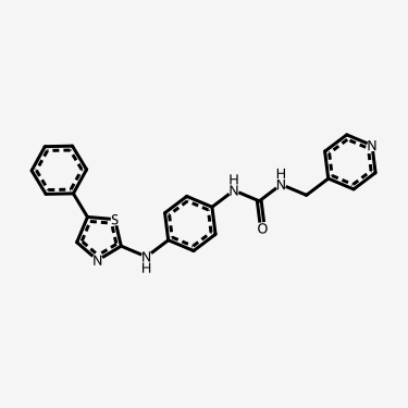 O=C(NCc1ccncc1)Nc1ccc(Nc2ncc(-c3ccccc3)s2)cc1